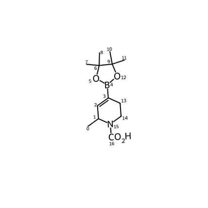 CC1C=C(B2OC(C)(C)C(C)(C)O2)CCN1C(=O)O